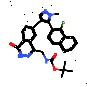 Cn1ncc(-c2ccc3c(=O)[nH]nc(CNC(=O)OC(C)(C)C)c3c2)c1-c1ccc2ccccc2c1Cl